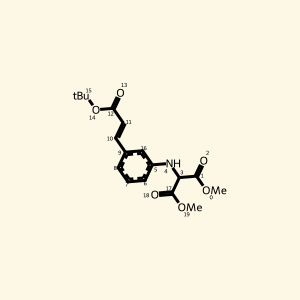 COC(=O)C(Nc1cccc(C=CC(=O)OC(C)(C)C)c1)C(=O)OC